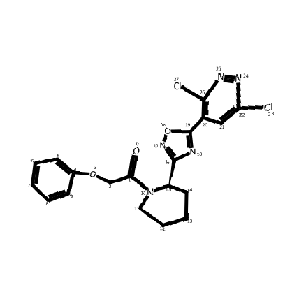 O=C(COc1ccccc1)N1CCCC[C@@H]1c1noc(-c2cc(Cl)nnc2Cl)n1